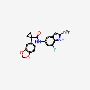 CCCc1cc2cc(NC(=O)C3(c4ccc5c(c4)OCO5)CC3)cc(F)c2[nH]1